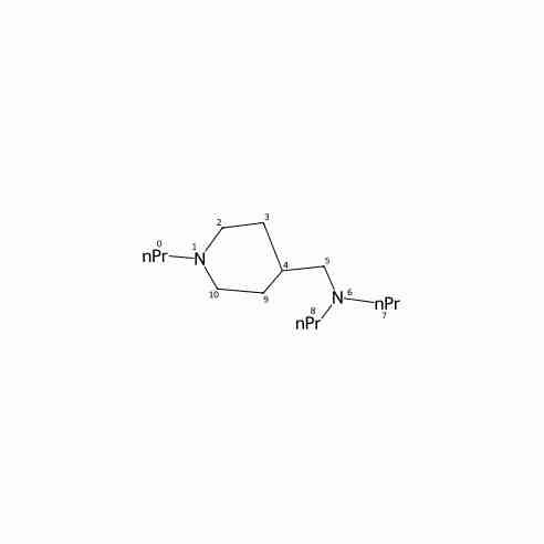 CCCN1CCC(CN(CCC)CCC)CC1